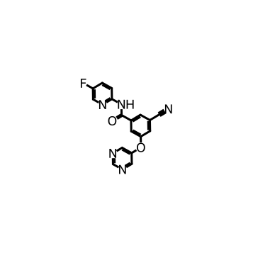 N#Cc1cc(Oc2cncnc2)cc(C(=O)Nc2ccc(F)cn2)c1